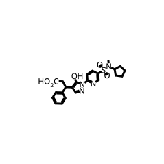 CN(C1CCCC1)S(=O)(=O)c1ccc(-n2ncc(C(CC(=O)O)c3ccccc3)c2O)nc1